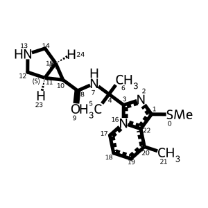 CSc1nc(C(C)(C)NC(=O)C2[C@H]3CNC[C@@H]23)n2cccc(C)c12